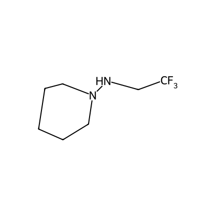 FC(F)(F)CNN1CCCCC1